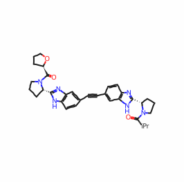 CC(C)C(=O)N1CCC[C@H]1c1nc2ccc(C#Cc3ccc4[nH]c([C@@H]5CCCN5C(=O)[C@H]5CCCO5)nc4c3)cc2[nH]1